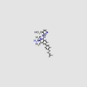 CC1c2cc(-c3ccc(CCC4CC4)cc3)ccc2C(CNc2cnccc2C(=O)O)N(C)[C@H]1N